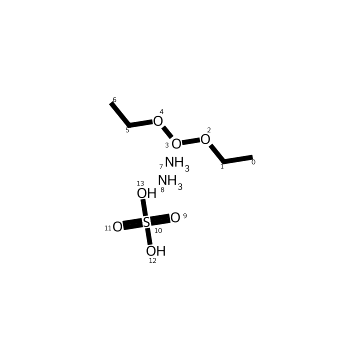 CCOOOCC.N.N.O=S(=O)(O)O